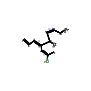 C=C/C=C(\C=C(/C)Cl)C(/C=C\CC(C)C)CC